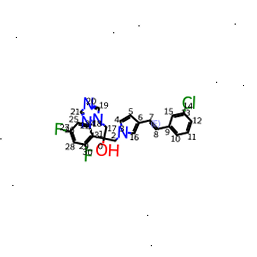 OC(Cn1ccc(/C=C/c2cccc(Cl)c2)c1)(Cn1cncn1)c1ccc(F)cc1F